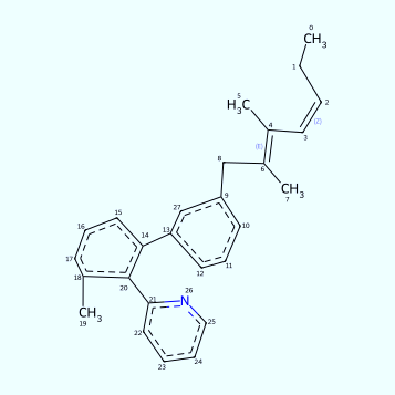 CC/C=C\C(C)=C(/C)Cc1cccc(-c2cccc(C)c2-c2ccccn2)c1